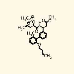 C=CCCOc1cccc(C)c1-c1cccc([C@H](CC(=O)OC)NC(=O)[C@@H](CC=C)OS(C)(=O)=O)c1